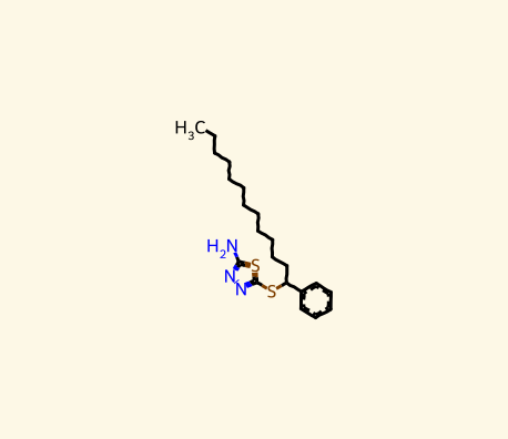 CCCCCCCCCCCCC(Sc1nnc(N)s1)c1ccccc1